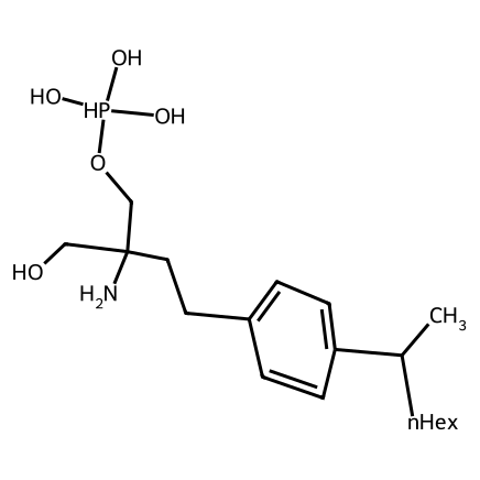 CCCCCCC(C)c1ccc(CCC(N)(CO)CO[PH](O)(O)O)cc1